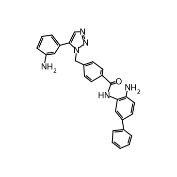 Nc1cccc(-c2cnnn2Cc2ccc(C(=O)Nc3cc(-c4ccccc4)ccc3N)cc2)c1